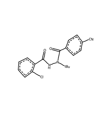 CC(C)(C)N(NC(=O)c1ccccc1Cl)C(=O)c1ccc(C#N)cc1